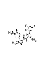 Cn1ncc(NC(=O)c2nc(-c3cc(F)cc(F)c3F)sc2N)c1[C@@H]1CC[C@@H](N)[C@@H](F)CO1